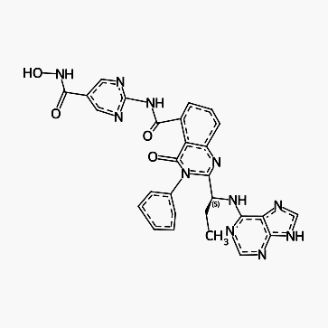 CC[C@H](Nc1ncnc2[nH]cnc12)c1nc2cccc(C(=O)Nc3ncc(C(=O)NO)cn3)c2c(=O)n1-c1ccccc1